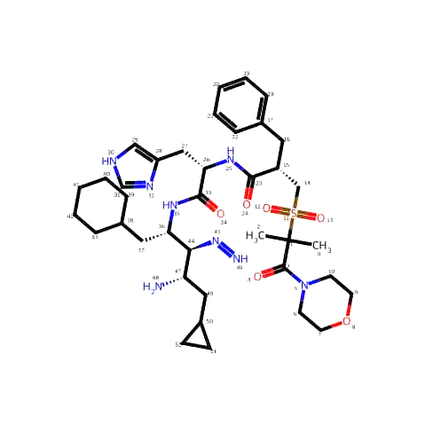 CC(C)(C(=O)N1CCOCC1)S(=O)(=O)C[C@@H](Cc1ccccc1)C(=O)N[C@@H](Cc1c[nH]cn1)C(=O)N[C@@H](CC1CCCCC1)[C@@H](N=N)[C@@H](N)CC1CC1